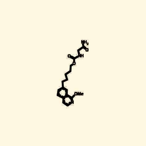 COc1nccc2ccc(CCCCCOC(=O)NCC(N)=O)cc12